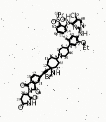 CCOc1cc(C2CCN(C3CCCC(C#Cc4ccc5c(c4)C(=O)N(C4CCC(=O)NC4=O)C5=O)(NBr)CC3)CC2)c(C)cc1Nc1ncc(Cl)c(Nc2ccccc2S(=O)(=O)C(C)C)n1